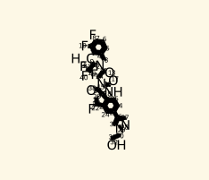 C[C@H](N(Cc1ccc(F)c(F)c1)C(=O)CN1C(=O)N[C@]2(C[C@@H](F)c3cc(-c4cnn(CCO)c4)ccc32)C1=O)C(F)(F)F